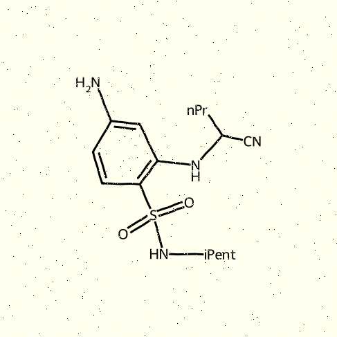 CCCC(C)NS(=O)(=O)c1ccc(N)cc1NC(C#N)CCC